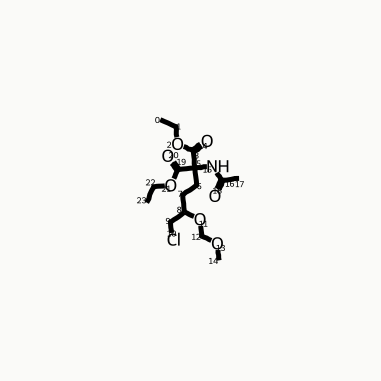 CCOC(=O)C(CCC(CCl)OCOC)(NC(C)=O)C(=O)OCC